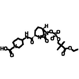 CCOC(=O)C(C)(C)COS(=O)(=O)ON1C(=O)N2C[C@H]1CC[C@H]2C(=O)NC1CCN(C(=O)O)CC1